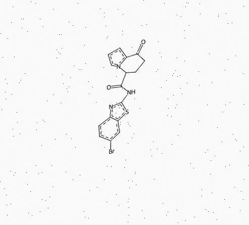 O=C1CCC(C(=O)Nc2nc3ccc(Br)cc3s2)n2cccc21